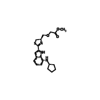 COC(=O)COC[C@@H]1CSC(c2cc3cccc(NC4CCCC4)c3[nH]2)=N1